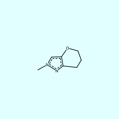 Cn1cc2c(n1)CCCO2